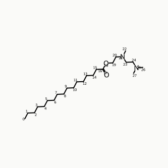 CCCCCCCCCCCCCCCCC(=O)OCCN(C)CCN(C)C